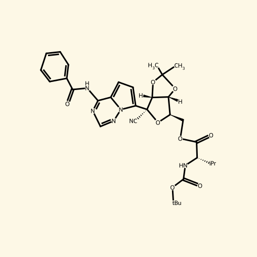 CC(C)[C@H](NC(=O)OC(C)(C)C)C(=O)OC[C@H]1O[C@@](C#N)(c2ccc3c(NC(=O)c4ccccc4)ncnn23)[C@@H]2OC(C)(C)O[C@@H]21